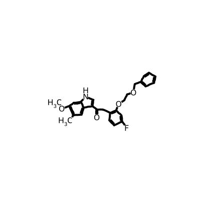 COc1cc2[nH]cc(C(=O)Cc3ccc(F)cc3OCCOCc3ccccc3)c2cc1C